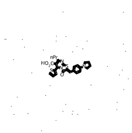 CCCC1=C(C(=O)O)C(c2cccs2)n2c(s/c(=C\c3ccc(N4CCCC4)cc3)c2=O)=N1